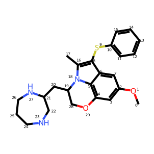 COc1cc2c3c(c1)c(Sc1ccccc1)c(C)n3C(CC1CNCCCN1)CO2